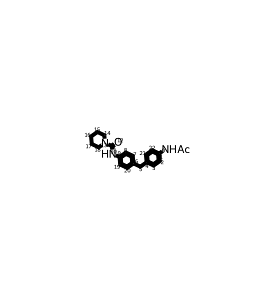 CC(=O)Nc1ccc(Cc2ccc(NC(=O)N3CCCCC3)cc2)cc1